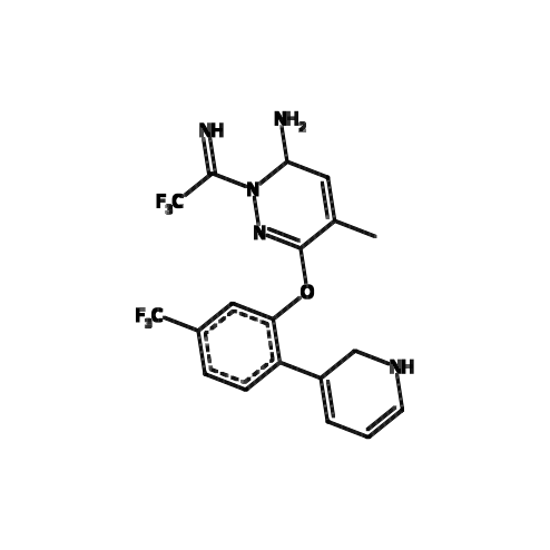 CC1=CC(N)N(C(=N)C(F)(F)F)N=C1Oc1cc(C(F)(F)F)ccc1C1=CC=CNC1